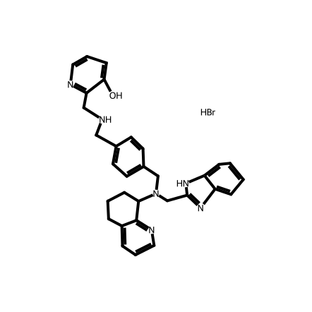 Br.Oc1cccnc1CNCc1ccc(CN(Cc2nc3ccccc3[nH]2)C2CCCc3cccnc32)cc1